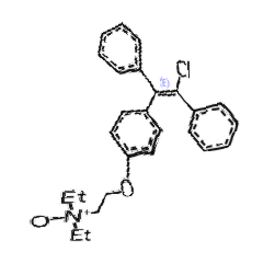 CC[N+]([O-])(CC)CCOc1ccc(/C(=C(/Cl)c2ccccc2)c2ccccc2)cc1